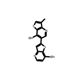 Cc1csc2c(C(C)(C)C)c(-c3cc4nccc(C(C)(C)C)c4s3)cnc12